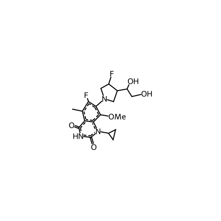 COc1c(N2CC(F)C(C(O)CO)C2)c(F)c(C)c2c(=O)[nH]c(=O)n(C3CC3)c12